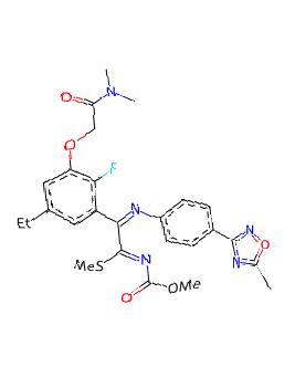 CCc1cc(OCC(=O)N(C)C)c(F)c(C(=N/c2ccc(-c3noc(C)n3)cc2)/C(=N/C(=O)OC)SC)c1